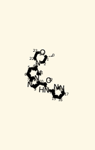 C[C@@H]1CN(c2ccc3ncc(C(=O)Nc4cccnn4)n3n2)CCO1